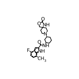 Cc1ccc(F)c2cc(C(=O)N[C@@H]3CCC[C@H](N4CCC5(CC4)COC(=O)N5)C3)[nH]c12